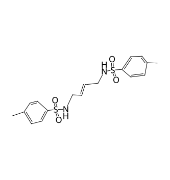 Cc1ccc(S(=O)(=O)NC/C=C/CNS(=O)(=O)c2ccc(C)cc2)cc1